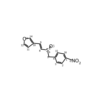 O=[N+]([O-])c1ccc(C[S+]([O-])C=Cc2ccoc2)cc1